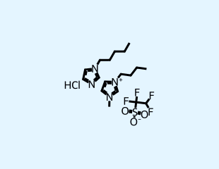 CCCCCn1ccnc1.CCCC[n+]1ccn(C)c1.Cl.O=S(=O)([O-])C(F)(F)C(F)F